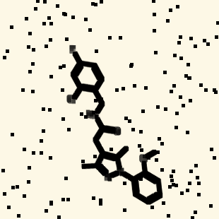 COc1ccccc1-n1nc(C)c(CC(=O)NCc2ccc(F)cc2Cl)c1C